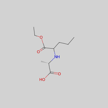 CCCC(N[C@@H](C)C(=O)O)C(=O)OCC